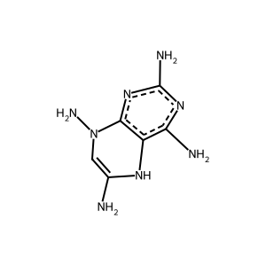 NC1=CN(N)c2nc(N)nc(N)c2N1